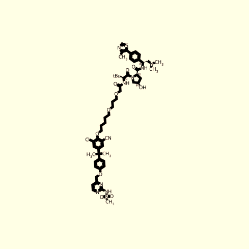 Cc1ncsc1-c1ccc([C@H](CN(C)C)NC(=O)[C@H]2C[C@@H](O)CN2C(=O)[C@@H](NC(=O)COCCCOCCCCCOc2c(Cl)cc(C(C)(C)c3ccc(OCc4ccnc(NS(C)(=O)=O)n4)cc3)cc2C#N)C(C)(C)C)cc1